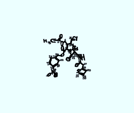 CC(=O)OCC1=C(C(=O)OCc2ccc([N+](=O)[O-])cc2)N2C(=O)C(NC(=O)Cc3cccs3)[C@H]2S/C1=C\Cl